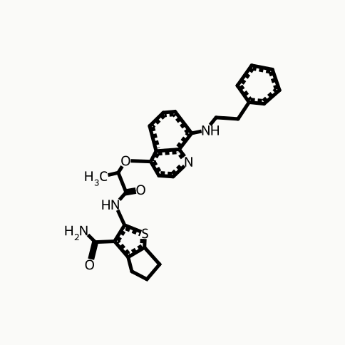 CC(Oc1ccnc2c(NCCc3ccccc3)cccc12)C(=O)Nc1sc2c(c1C(N)=O)CCC2